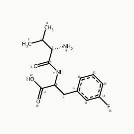 CC(C)[C@H](N)C(=O)NC(Cc1cccc(F)c1)C(=O)O